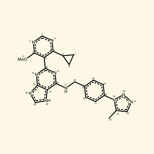 COc1ncnc(C2CC2)c1-c1nc(NCc2ccc(-n3nncc3C)cc2)c2[nH]cnc2n1